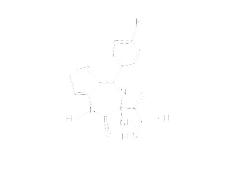 C[C@H](N)C(=O)C1(N)N=C(c2ccc(F)cc2)c2ccccc2N(C)C1=O